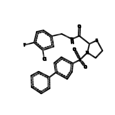 O=C(NCc1ccc(F)c(Cl)c1)C1SCCN1S(=O)(=O)c1ccc(-c2ccccc2)cc1